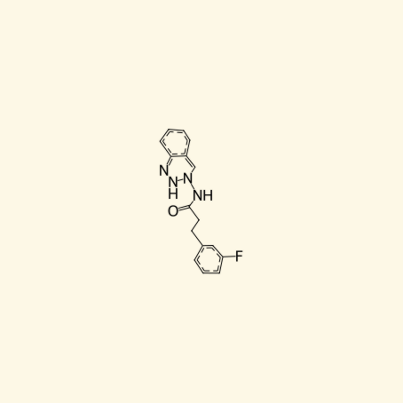 O=C(CCc1cccc(F)c1)NN1C=c2ccccc2=NN1